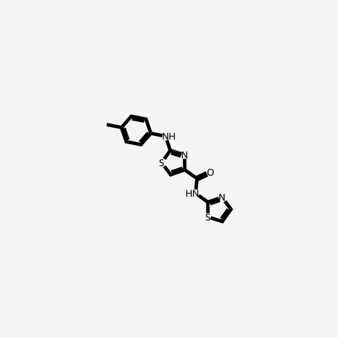 Cc1ccc(Nc2nc(C(=O)Nc3nccs3)cs2)cc1